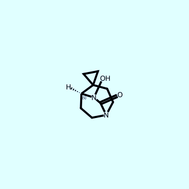 O=C1N2CC[C@H](N1O)C1(CC2)CC1